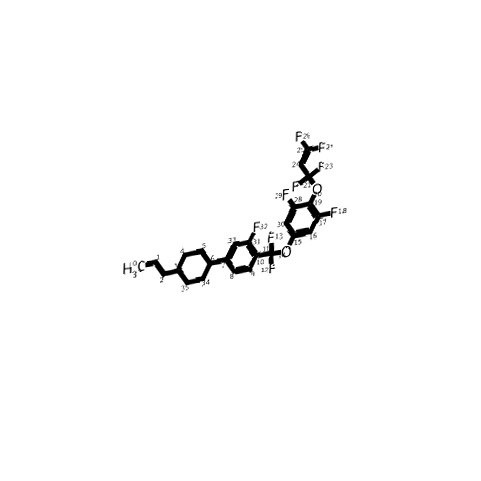 CCCC1CCC(c2ccc(C(F)(F)Oc3cc(F)c(OC(F)(F)C=C(F)F)c(F)c3)c(F)c2)CC1